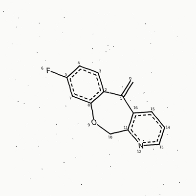 C=C1c2ccc(F)cc2OCc2ncccc21